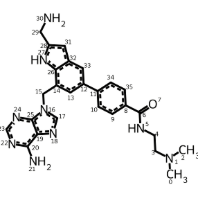 CN(C)CCNC(=O)c1ccc(-c2cc(Cn3cnc4c(N)ncnc43)c3[nH]c(CN)cc3c2)cc1